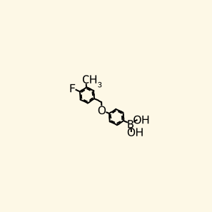 Cc1cc(COc2ccc(B(O)O)cc2)ccc1F